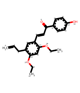 C=CCc1cc(C=CC(=O)c2ccc(O)cc2)c(OCC)cc1OCC